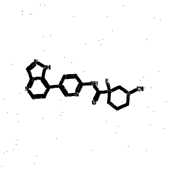 N#CN1CCCC(F)(C(=O)Nc2ccc(-c3ccnc4cn[nH]c34)cn2)C1